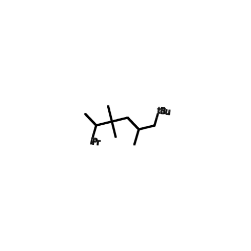 CC(CC(C)(C)C)CC(C)(C)C(C)C(C)C